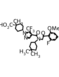 COc1cccc(F)c1C(=O)CN(C(=O)c1cnn([C@H]2CC[C@](C)(C(=O)O)CC2)c1C(F)(F)F)C1CCC(C)(C)CC1